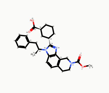 COC(=O)N1CCc2ccc3c(nc([C@H]4CCC[C@H](C(=O)O)C4)n3[C@@H](C)Cc3ccccc3)c2C1